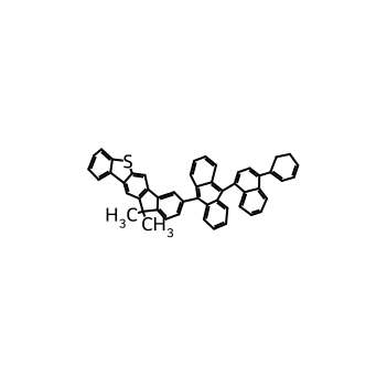 CC1(C)c2ccc(-c3c4ccccc4c(-c4ccc(C5=CC=CCC5)c5ccccc45)c4ccccc34)cc2-c2cc3sc4ccccc4c3cc21